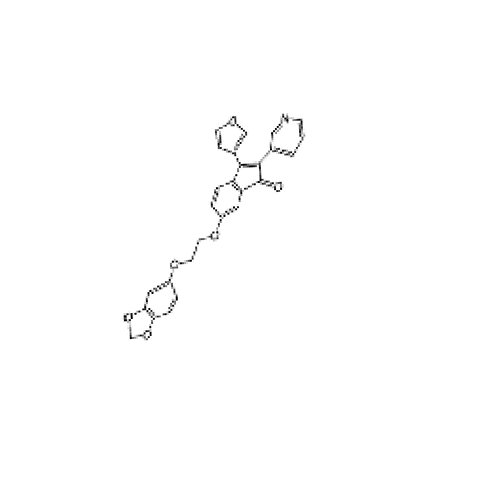 O=C1C(c2cccnc2)=C(c2ccoc2)c2ccc(OCCOc3ccc4c(c3)OCO4)cc21